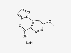 COc1cnc(C(=O)O)c(-n2nccn2)c1.[NaH]